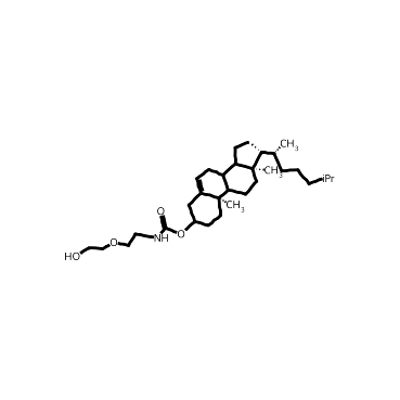 CC(C)CCC[C@@H](C)[C@H]1CCC2C3CC=C4CC(OC(=O)NCCOCCO)CC[C@]4(C)C3CC[C@@]21C